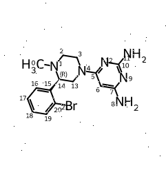 CN1CCN(c2cc(N)nc(N)n2)C[C@H]1c1ccccc1Br